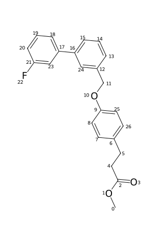 COC(=O)CCc1ccc(OCc2cccc(-c3cccc(F)c3)c2)cc1